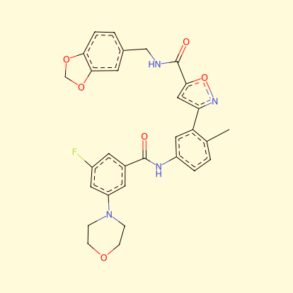 Cc1ccc(NC(=O)c2cc(F)cc(N3CCOCC3)c2)cc1-c1cc(C(=O)NCc2ccc3c(c2)OCO3)on1